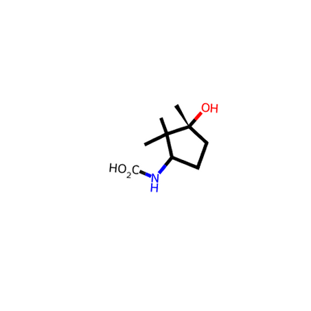 CC1(C)C(NC(=O)O)CC[C@@]1(C)O